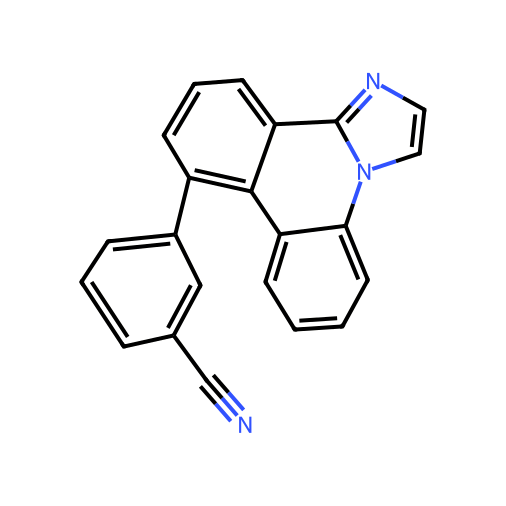 N#Cc1cccc(-c2cccc3c2c2ccccc2n2ccnc32)c1